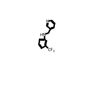 FC(F)(F)c1cccc(NCc2cccnc2)c1